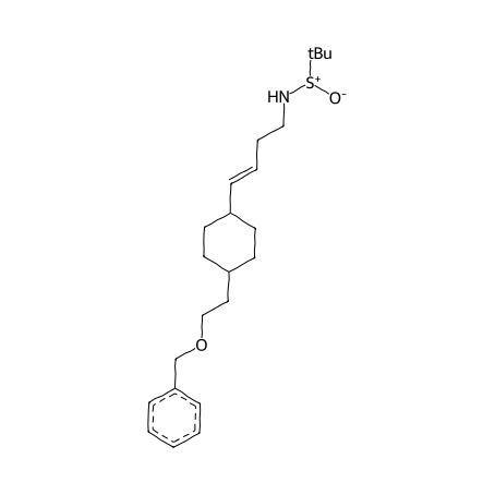 CC(C)(C)[S+]([O-])NCCC=CC1CCC(CCOCc2ccccc2)CC1